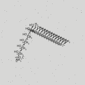 CC(=O)O.CC(=O)O.CC(=O)O.CC(=O)O.CC(=O)O.CC(=O)O.CC(=O)O.CC(=O)O.CC(=O)O.CC(=O)O.CC(=O)O.CC(=O)O.CC(=O)O.CC(=O)O.CC(=O)O.CC(=O)O.CC(=O)O.CC(=O)O.CC(=O)O.CC(=O)O.[AlH3]